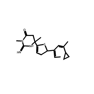 C/C=C(\C=C(\C)C1CC1)C1CC=C(C2(C)CC(=O)N(C)C(=N)N2)S1